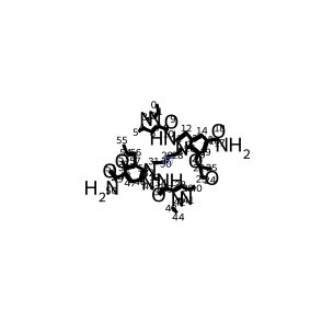 CCn1nc(C)cc1C(=O)Nc1cc2cc(C(N)=O)cc(OC3COC3)c2n1C/C=C/Cn1c(NC(=O)c2cc(C)nn2CC)nc2cc(C(N)=O)c3oc(C)cc3c21